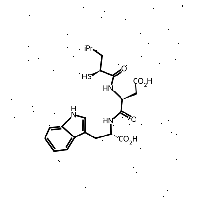 CC(C)C[C@H](S)C(=O)N[C@@H](CC(=O)O)C(=O)N[C@@H](Cc1c[nH]c2ccccc12)C(=O)O